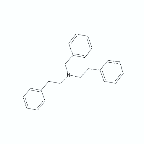 c1ccc(CCN(CCc2ccccc2)Cc2ccccc2)cc1